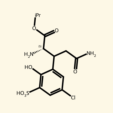 CC(C)OC(=O)[C@@H](N)C(CC(N)=O)c1cc(Cl)cc(S(=O)(=O)O)c1O